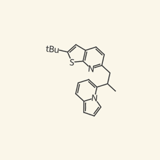 CC(Cc1ccc2cc(C(C)(C)C)sc2n1)c1cccc2cccn12